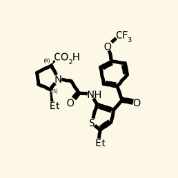 CCc1cc(C(=O)c2ccc(OC(F)(F)F)cc2)c(NC(=O)CN2[C@@H](CC)CC[C@@H]2C(=O)O)s1